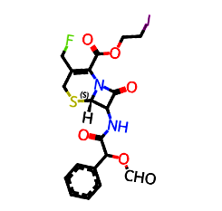 O=COC(C(=O)NC1C(=O)N2C(C(=O)OCCI)=C(CF)CS[C@@H]12)c1ccccc1